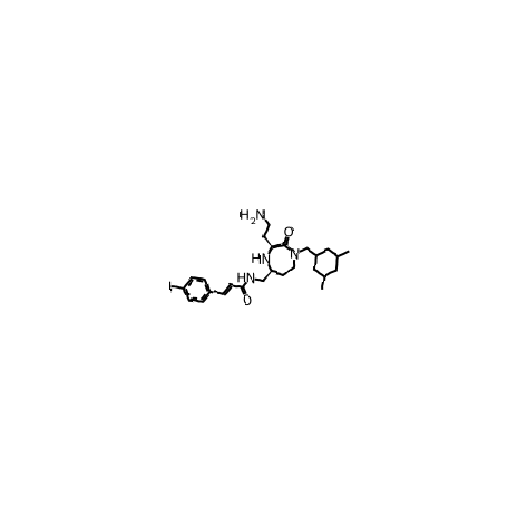 CC1CC(C)CC(CN2CC[C@@H](CNC(=O)/C=C/c3ccc(I)cc3)N[C@@H](CCN)C2=O)C1